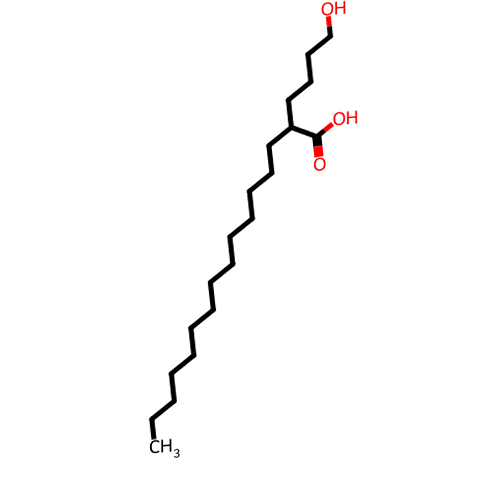 CCCCCCCCCCCCCCC(CCCCO)C(=O)O